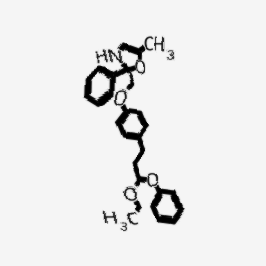 CCOC(CCc1ccc(OC[C@@]2(c3ccccc3)NC=C(C)O2)cc1)Oc1ccccc1